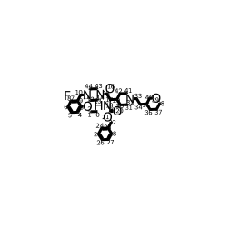 CCOc1cccc(F)c1CN1CCN(C(=O)[C@H](NC(=O)OCc2ccccc2)C2CCN(CCC3CCCOC3)CC2)CC1